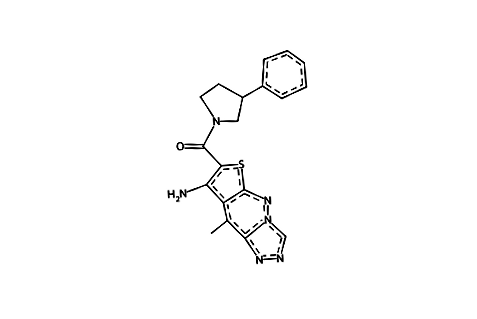 Cc1c2c(N)c(C(=O)N3CCC(c4ccccc4)C3)sc2nn2cnnc12